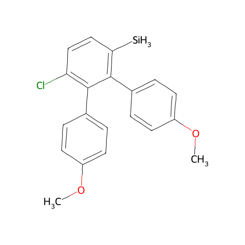 COc1ccc(-c2c([SiH3])ccc(Cl)c2-c2ccc(OC)cc2)cc1